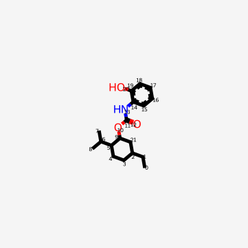 CCC1CCC(C(C)C)C(OC(=O)Nc2ccccc2O)C1